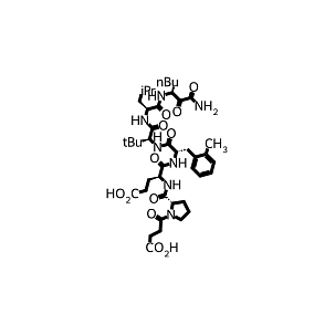 CCCC[C@H](NC(=O)[C@H](CC(C)C)NC(=O)[C@@H](NC(=O)[C@H](Cc1ccccc1C)NC(=O)[C@H](CCC(=O)O)NC(=O)[C@@H]1CCCN1C(=O)CCC(=O)O)C(C)(C)C)C(=O)C(N)=O